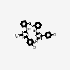 Nc1nc(Nc2ccccc2SSc2ccccc2Nc2nc(N)nc(-c3ccc(Cl)cc3)n2)nc(-c2ccc(Cl)cc2)n1